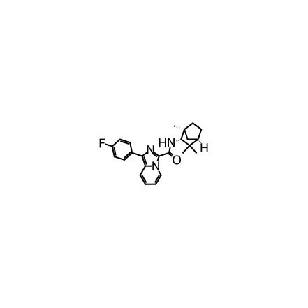 CC1(C)[C@@H]2CC[C@@](C)(C2)[C@H]1NC(=O)c1nc(-c2ccc(F)cc2)c2ccccn12